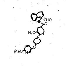 COc1ccc(OC2CCN(c3nnc(C(=O)N[C@]4(C=O)C=CCc5ccccc54)cc3C)CC2)cn1